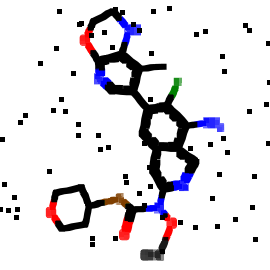 Cc1c(-c2cc3cc(N(OC=O)C(=O)SC4CCOCC4)ncc3c(N)c2F)cnc2c1NCCO2